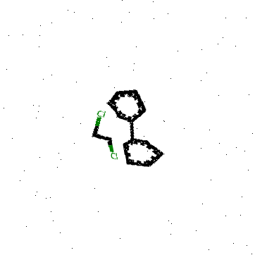 ClCCCl.c1ccc(-c2ccccc2)cc1